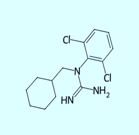 N=C(N)N(CC1CCCCC1)c1c(Cl)cccc1Cl